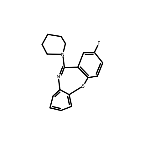 Fc1ccc2c(c1)C(N1CCCCC1)=Nc1ccccc1S2